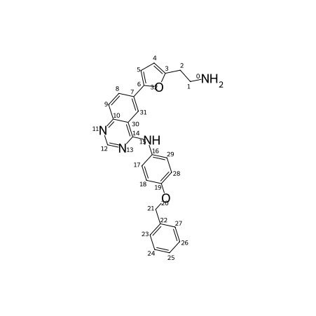 NCCc1ccc(-c2ccc3ncnc(Nc4ccc(OCc5ccccc5)cc4)c3c2)o1